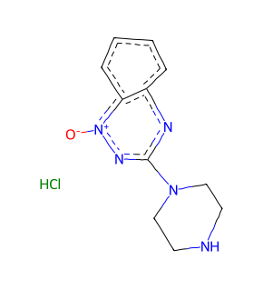 Cl.[O-][n+]1nc(N2CCNCC2)nc2ccccc21